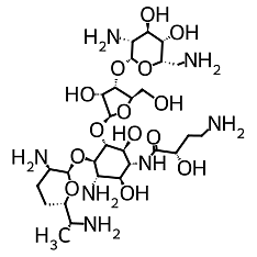 C[C@@H](N)[C@@H]1CC[C@@H](N)[C@@H](O[C@@H]2[C@@H](N)[C@H](O)[C@@H](NC(=O)[C@@H](O)CCN)[C@H](O)[C@H]2O[C@@H]2O[C@H](CO)[C@@H](O[C@H]3O[C@@H](CN)[C@@H](O)[C@H](O)[C@H]3N)[C@H]2O)O1